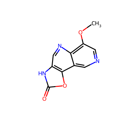 COc1cncc2c1ncc1[nH]c(=O)oc12